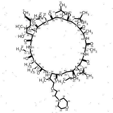 C/C=C/C[C@@H](C)[C@@H](O)[C@H]1C(=O)N[C@@H](CC)C(=O)N(C)[C@H](C)C(=O)N[C@@H]([C@H](C)COCCN2CCOCC2)C(=O)N[C@@H](C(C)C)C(=O)N(C)[C@@H](CC(C)C)C(=O)N[C@@H](C)C(=O)N[C@H](C)C(=O)N(C)[C@@H](CC(C)C)C(=O)N(C)[C@@H](CC(C)C)C(=O)N(C)[C@@H](C(C)C)C(=O)N1C